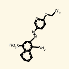 Nc1c(/N=N/c2ccc(OCC(F)(F)F)nc2)cc(S(=O)(=O)O)c2ccccc12